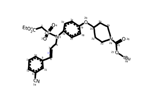 CCOC(=O)CS(=O)(=O)N(C/C=C/c1cccc(C#N)c1)c1ccc(OC2CCN(C(=O)OC(C)(C)C)CC2)cc1